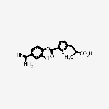 CC(Cc1ccc(C(=O)Oc2ccc(C(=N)N)cc2Cl)s1)C(=O)O